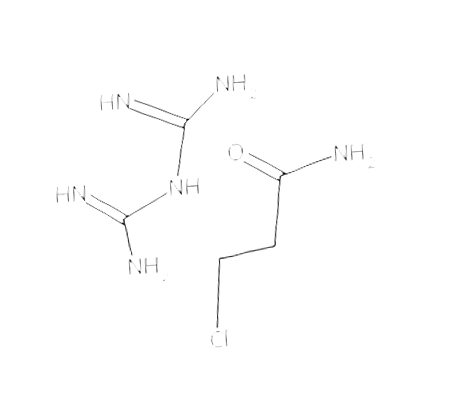 N=C(N)NC(=N)N.NC(=O)CCCl